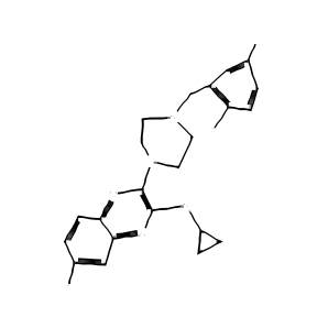 Clc1ccc(Cl)c(CN2CCN(c3nc4ccc(Br)cc4nc3NC3CC3)CC2)c1